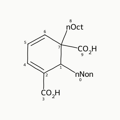 CCCCCCCCCC1C(C(=O)O)=CC=CC1(CCCCCCCC)C(=O)O